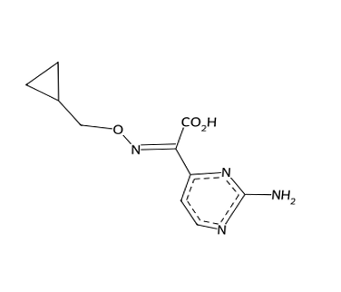 Nc1nccc(C(=NOCC2CC2)C(=O)O)n1